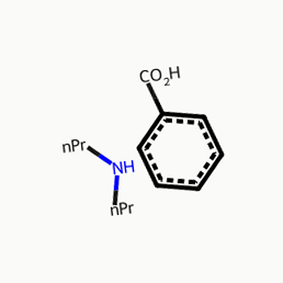 CCCNCCC.O=C(O)c1ccccc1